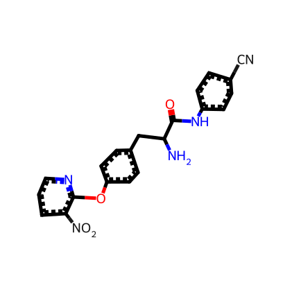 N#Cc1ccc(NC(=O)C(N)Cc2ccc(Oc3ncccc3[N+](=O)[O-])cc2)cc1